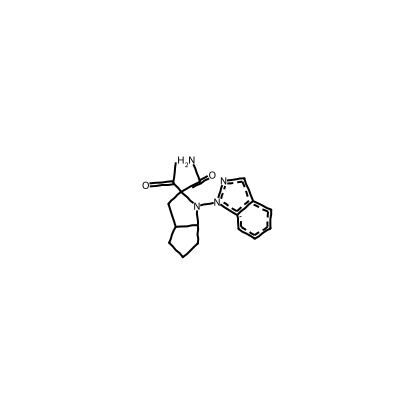 CC(=O)C1(C(N)=O)CC2CCCC2N1n1ncc2ccccc21